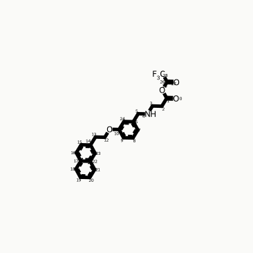 O=C(CCNCc1cccc(OCCc2ccc3ccccc3c2)c1)OC(=O)C(F)(F)F